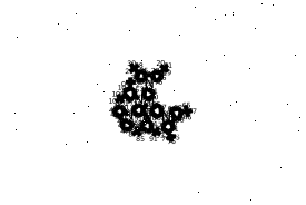 CC(C)(C)c1cc(N(c2cccc(-n3c4ccc(C(C)(C)C)cc4c4cc(C(C)(C)C)ccc43)c2)c2cc(-n3c4ccccc4c4ccccc43)cc(N(c3cccc(-n4c5ccc(C(C)(C)C)cc5c5cc(C(C)(C)C)ccc54)c3)c3cc(C(C)(C)C)cc(C(C)(C)C)c3)c2Cl)cc(C(C)(C)C)c1